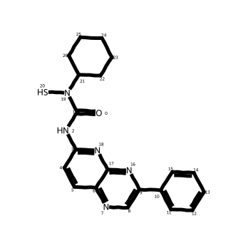 O=C(Nc1ccc2ncc(-c3ccccc3)nc2n1)N(S)C1CCCCC1